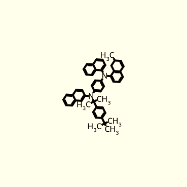 CC1C=Cc2cccc(N(c3ccc(N(c4ccc5ccccc5c4)C(C)(C)c4ccc(C(C)(C)C)cc4)cc3)c3cccc4ccccc34)c2C1